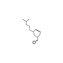 CC(C)CCCC1C=CCC(C=O)C1